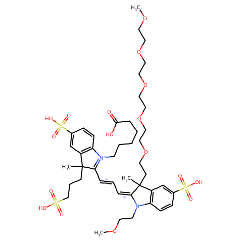 COCCOCCOCCOCCOCCC1(C)/C(=C\C=C\C2=[N+](CCCCCC(=O)O)c3ccc(S(=O)(=O)O)cc3C2(C)CCCS(=O)(=O)O)N(CCOC)c2ccc(S(=O)(=O)O)cc21